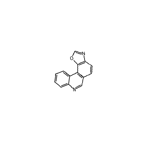 c1ccc2c(c1)ncc1ccc3ncoc3c12